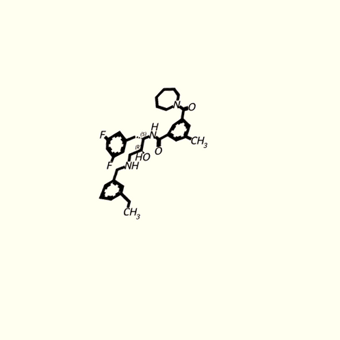 CCc1cccc(CNC[C@@H](O)[C@H](Cc2cc(F)cc(F)c2)NC(=O)c2cc(C)cc(C(=O)N3CCCCCC3)c2)c1